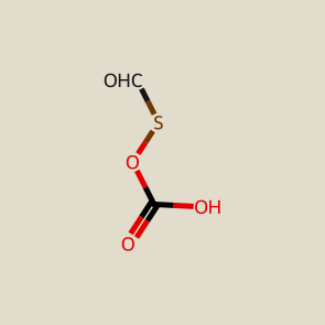 O=CSOC(=O)O